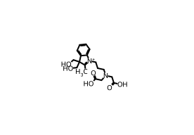 CC1=[N+](CCCN(CC(=O)O)CC(=O)O)c2ccccc2C1(CO)CO